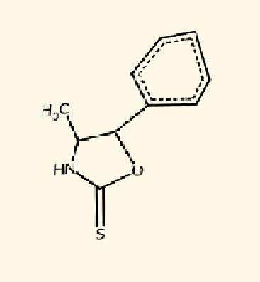 CC1NC(=S)OC1c1ccccc1